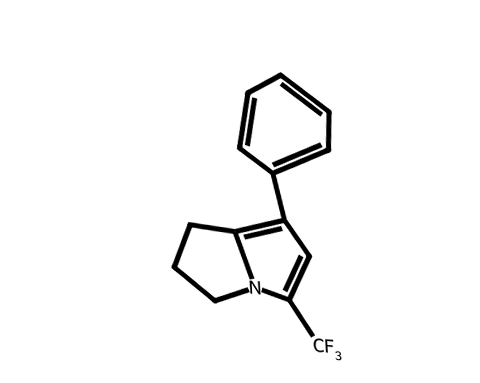 FC(F)(F)c1cc(-c2ccccc2)c2n1CCC2